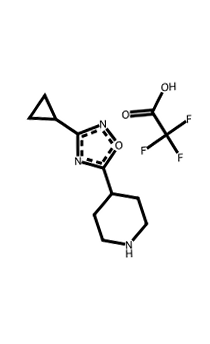 C1CC(c2nc(C3CC3)no2)CCN1.O=C(O)C(F)(F)F